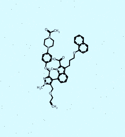 C=CCOCc1c(-c2cccc3c(CCCOc4cccc5ccccc45)c(C(=O)O)n(C)c23)c(COc2ccc(N3CCN(C(C)=O)CC3)cc2)nn1C